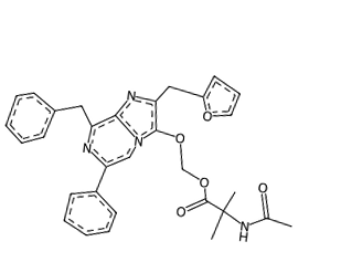 CC(=O)NC(C)(C)C(=O)OCOc1c(Cc2ccco2)nc2c(Cc3ccccc3)nc(-c3ccccc3)cn12